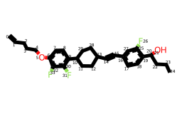 C=CCCCOc1ccc(C2CCC(C#Cc3ccc(C(O)CCC)c(F)c3)CC2)c(F)c1F